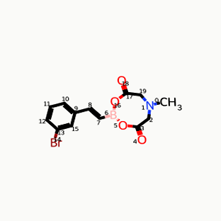 CN1CC(=O)OB(C=Cc2cccc(Br)c2)OC(=O)C1